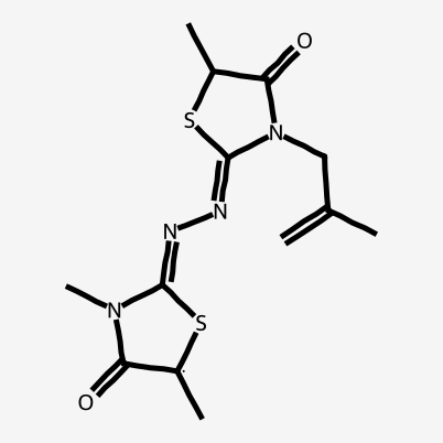 C=C(C)CN1C(=O)C(C)SC1=NN=C1S[C](C)C(=O)N1C